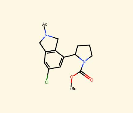 CC(=O)N1Cc2cc(Cl)cc(C3CCCN3C(=O)OC(C)(C)C)c2C1